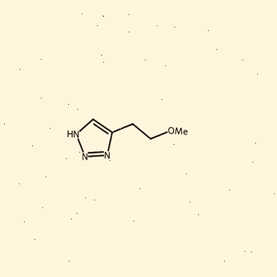 COCCc1c[nH]nn1